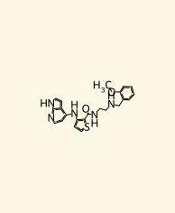 COc1ccccc1CNCCNC(=O)c1sccc1Nc1ccnc2[nH]ccc12